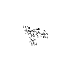 COc1cc(-n2c(C(C)(C)CC#N)c([C@H]3CC[C@](C)(C(=O)O)CC3)c3nc4[nH]ncc4cc32)ccc1F